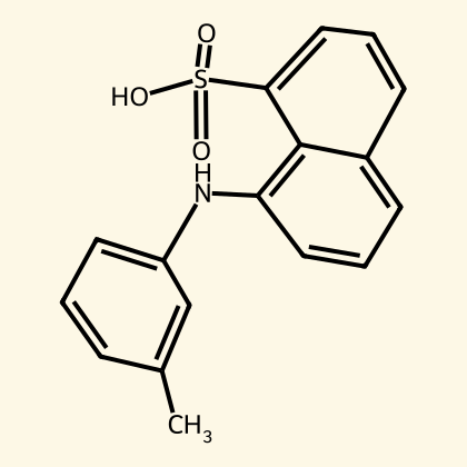 Cc1cccc(Nc2cccc3cccc(S(=O)(=O)O)c23)c1